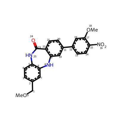 COCc1ccc2c(c1)Nc1cc(-c3ccc([N+](=O)[O-])c(OC)c3)ccc1C(=O)N2